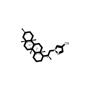 C[C@H]1CC[C@@]2(C)[C@](C)(CC[C@]3(C)[C@]2(C)CC[C@]2(C)C([C@H](C)Cn4cc(C#N)cn4)CCC[C@@]32C)C1